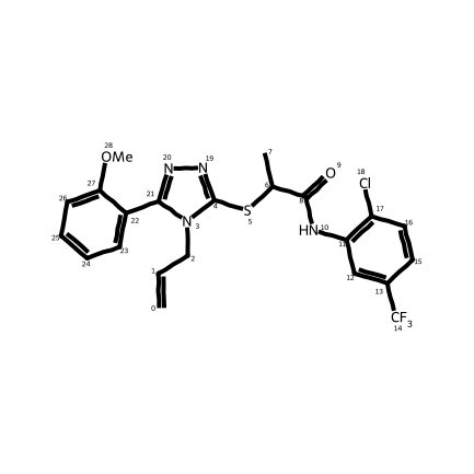 C=CCn1c(SC(C)C(=O)Nc2cc(C(F)(F)F)ccc2Cl)nnc1-c1ccccc1OC